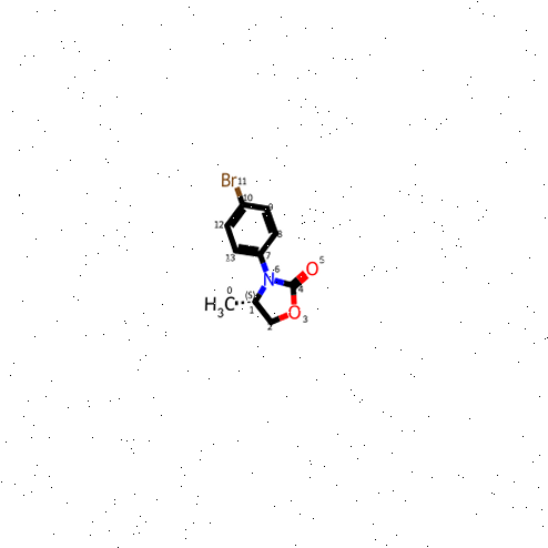 C[C@H]1COC(=O)N1c1ccc(Br)cc1